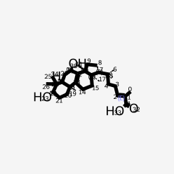 C/C(=C\CC[C@@H](C)[C@H]1CC[C@@]2(C)C3=C(CC[C@]12C)[C@@]1(C)CC[C@@H](O)C(C)(C)[C@@H]1C[C@H]3O)C(=O)O